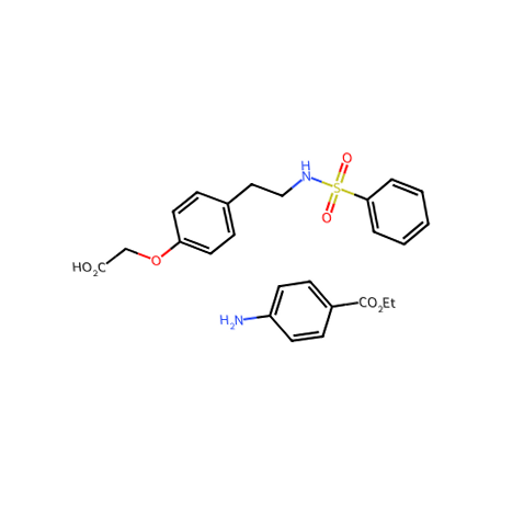 CCOC(=O)c1ccc(N)cc1.O=C(O)COc1ccc(CCNS(=O)(=O)c2ccccc2)cc1